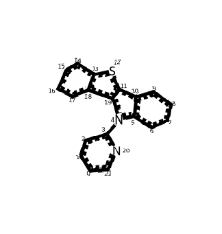 c1ccc(-n2c3ccccc3c3sc4ccccc4c32)nc1